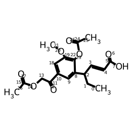 CCC(C=CC(=O)O)c1cc(C(=O)COC(C)=O)cc(OC)c1OC(C)=O